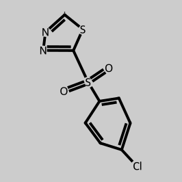 O=S(=O)(c1ccc(Cl)cc1)c1nn[c]s1